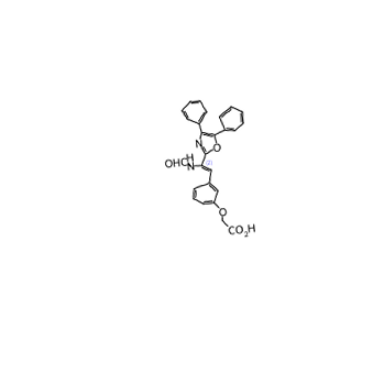 O=CN/C(=C\c1cccc(OCC(=O)O)c1)c1nc(-c2ccccc2)c(-c2ccccc2)o1